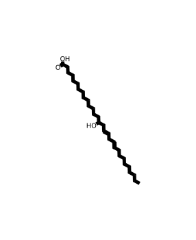 CCCCCCCCCC=CCC=CCC(O)CCCCCCCCCCCCCC(=O)O